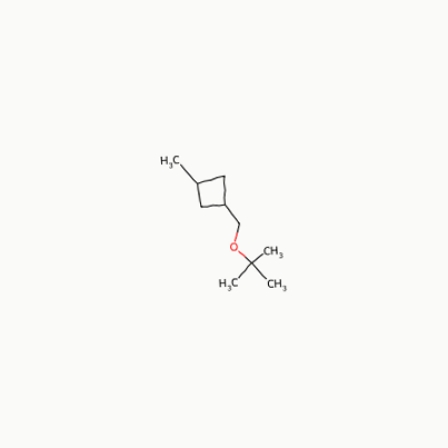 CC1CC(COC(C)(C)C)C1